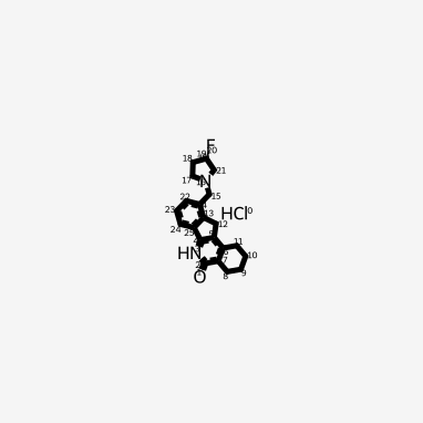 Cl.O=c1[nH]c2c(c3c1CCCC3)Cc1c(CN3CC[C@H](F)C3)cccc1-2